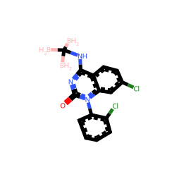 BC(B)(B)Nc1nc(=O)n(-c2ccccc2Cl)c2cc(Cl)ccc12